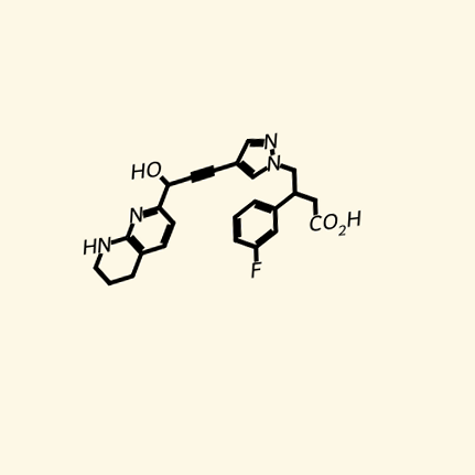 O=C(O)CC(Cn1cc(C#CC(O)c2ccc3c(n2)NCCC3)cn1)c1cccc(F)c1